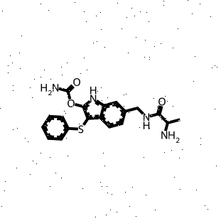 CC(N)C(=O)NCc1ccc2c(Sc3ccccc3)c(OC(N)=O)[nH]c2c1